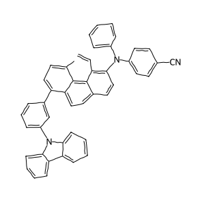 C=Cc1c(N(c2ccccc2)c2ccc(C#N)cc2)ccc2ccc3c(-c4cccc(-n5c6ccccc6c6ccccc65)c4)ccc(C)c3c12